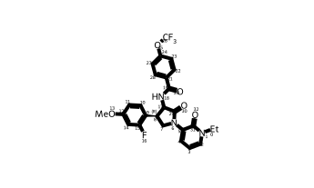 CCn1cccc(N2C[C@@H](c3ccc(OC)cc3F)C(NC(=O)c3ccc(OC(F)(F)F)cc3)C2=O)c1=O